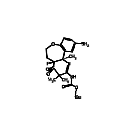 CC(C)(C)OC(=O)NC1=N[C@]2(C)c3cc(N)ccc3OCC[C@@]2(F)S(=O)(=O)C1(C)C